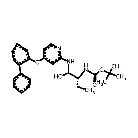 CC[C@@H](NC(=O)OC(C)(C)C)C(O)Nc1cc(Oc2ccccc2-c2ccccc2)ccn1